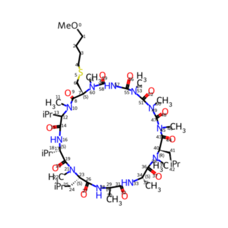 COCCCCSC[C@@H]1C(=O)N(C)C(C(C)C)C(=O)N[C@@H](C(C)C)C(=O)N(C)[C@@H](CC(C)C)C(=O)N[C@H](C)C(=O)N[C@@H](C)C(=O)N(C)[C@H](CC(C)C)C(=O)N(C)C(=O)N(C)C(=O)N(C)C(=O)NC(=O)N1C